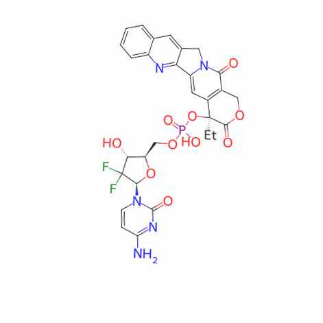 CC[C@@]1(OP(=O)(O)OC[C@H]2O[C@@H](n3ccc(N)nc3=O)C(F)(F)[C@@H]2O)C(=O)OCc2c1cc1n(c2=O)Cc2cc3ccccc3nc2-1